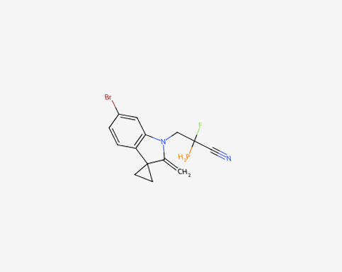 C=C1N(CC(F)(P)C#N)c2cc(Br)ccc2C12CC2